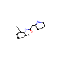 CCc1cccc(CC)c1NC(=O)Cc1ccccn1